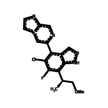 COC[C@@H](C)c1c(F)c(Cl)c(-c2cn3ccnc3cn2)c2cn[nH]c12